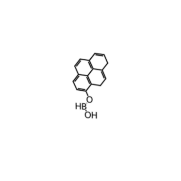 OBOc1ccc2ccc3c4c2c1CC=C4CC=C3